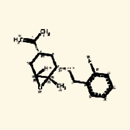 C=C(C)[C@@H]1C[C@H](OCc2ccccc2F)[C@]2(C)O[C@@H]2C1